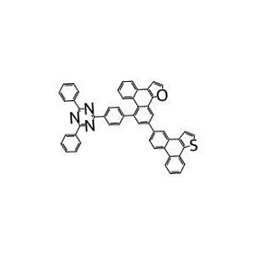 c1ccc(-c2nc(-c3ccccc3)nc(-c3ccc(-c4cc(-c5ccc6c7ccccc7c7sccc7c6c5)cc5c6occc6c6ccccc6c45)cc3)n2)cc1